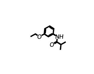 CCOc1cccc(NC(=O)C(C)C)c1